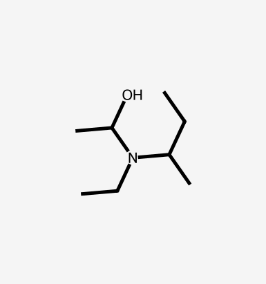 CCC(C)N(CC)C(C)O